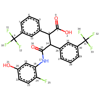 O=C(O)C(c1cccc(C(F)(F)F)c1)C(C(=O)Nc1cc(O)ccc1F)c1cccc(C(F)(F)F)c1